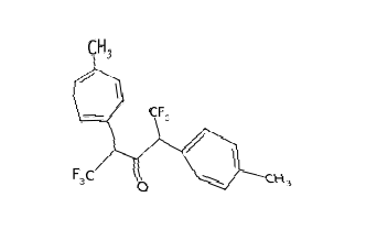 Cc1ccc(C(C(=O)C(c2ccc(C)cc2)C(F)(F)F)C(F)(F)F)cc1